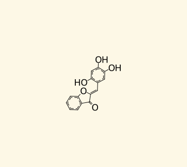 O=C1/C(=C/c2cc(O)c(O)cc2O)Oc2ccccc21